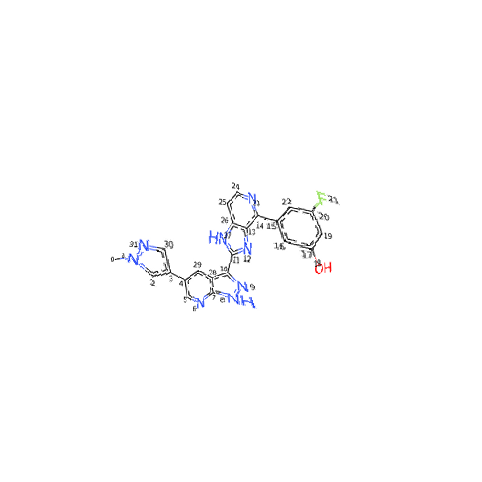 Cn1cc(-c2cnc3[nH]nc(-c4nc5c(-c6cc(O)cc(F)c6)nccc5[nH]4)c3c2)cn1